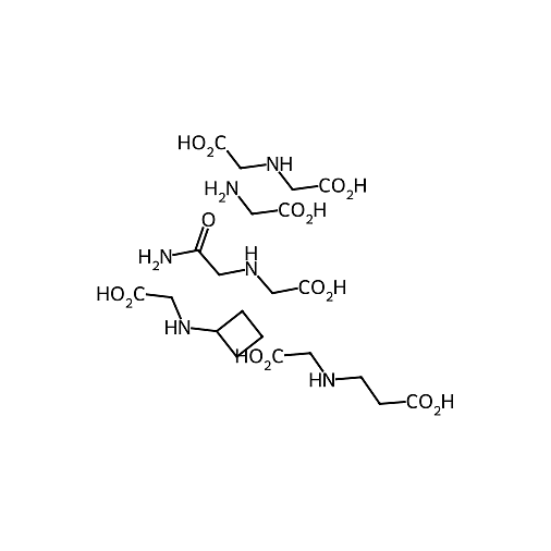 NC(=O)CNCC(=O)O.NCC(=O)O.O=C(O)CCNCC(=O)O.O=C(O)CNC1CCC1.O=C(O)CNCC(=O)O